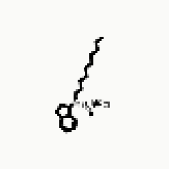 CCCCCCCCCC[N]([Hf]=[Si](C)C)C1CCC2C=CC=CC21.Cl.Cl